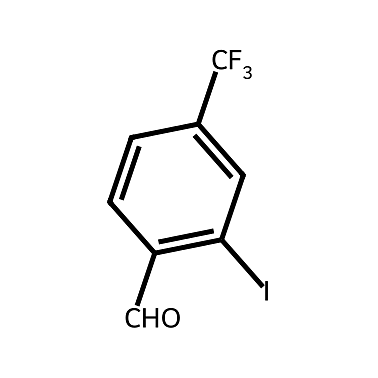 O=Cc1ccc(C(F)(F)F)cc1I